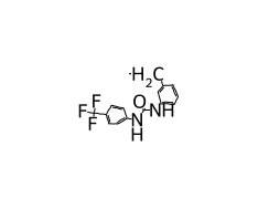 [CH2]c1cccc(NC(=O)Nc2ccc(C(F)(F)F)cc2)c1